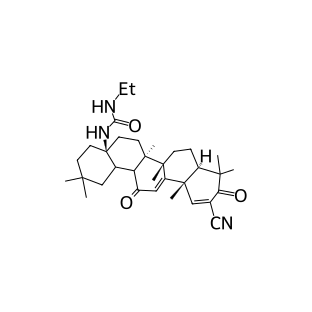 CCNC(=O)N[C@]12CCC(C)(C)CC1C1C(=O)C=C3[C@@]4(C)C=C(C#N)C(=O)C(C)(C)[C@@H]4CC[C@@]3(C)[C@]1(C)CC2